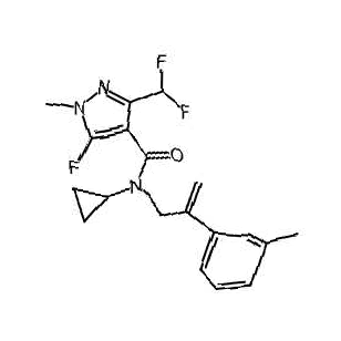 C=C(CN(C(=O)c1c(C(F)F)nn(C)c1F)C1CC1)c1cccc(C)c1